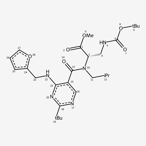 COC(=O)[C@H](CNC(=O)OC(C)(C)C)N(CC(C)C)C(=O)c1cnc(C(C)(C)C)nc1NCc1ccco1